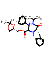 CC(NC(=O)[C@H](Cc1ccccc1)NC(Cc1ccccc1)C(=O)OC[C@@H]1COC(C)(C)O1)C(=O)O